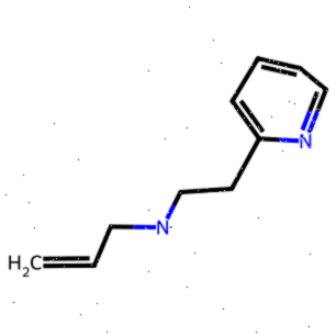 C=CC[N]CCc1ccccn1